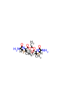 CC(OC(=O)[C@@H]1N2C(=O)[C@@H](N)[C@H]2SC1(C)C)OC(=O)[C@@H]1N2C(=O)[C@@H](N)[C@H]2SC1(C)C